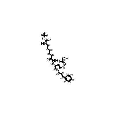 CC(C)(C)OC(=O)NCCCCCC(=O)NC[C@@H]1CN(CCCc2ccccc2)C(=O)[C@H]1CC(=O)O